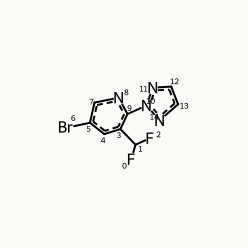 FC(F)c1cc(Br)cnc1-n1nccn1